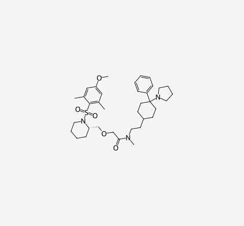 COc1cc(C)c(S(=O)(=O)N2CCCC[C@H]2COCC(=O)N(C)CCC2CCC(c3ccccc3)(N3CCCC3)CC2)c(C)c1